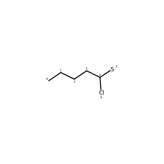 CCCCC([S])Cl